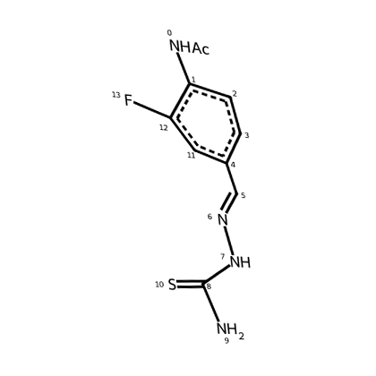 CC(=O)Nc1ccc(C=NNC(N)=S)cc1F